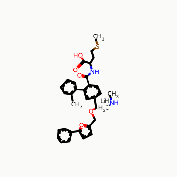 CNC.CSCCC(NC(=O)c1ccc(COCc2ccc(-c3ccccc3)o2)cc1-c1ccccc1C)C(=O)O.[LiH]